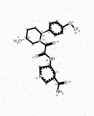 C[C@@H]1CC[C@@H](c2ccc(OC(F)(F)F)cc2)N(C(=O)C(=O)Nc2cncc(C(N)=O)c2)C1